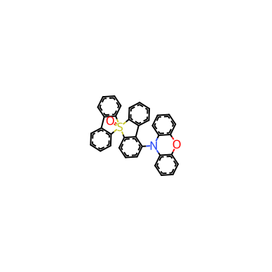 O=S12(c3ccccc3-c3ccccc31)c1ccccc1-c1c(N3c4ccccc4Oc4ccccc43)cccc12